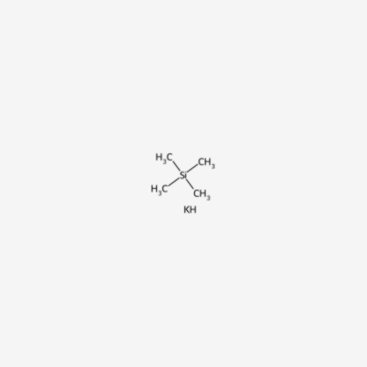 C[Si](C)(C)C.[KH]